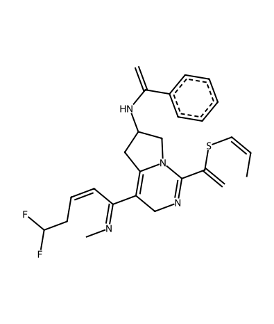 C=C(S/C=C\C)C1=NCC(C(/C=C\CC(F)F)=N/C)=C2CC(NC(=C)c3ccccc3)CN12